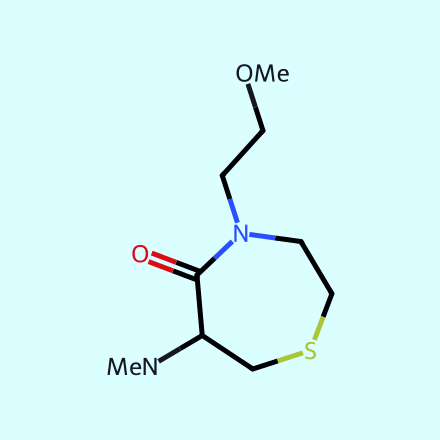 CNC1CSCCN(CCOC)C1=O